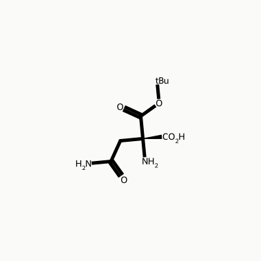 CC(C)(C)OC(=O)[C@](N)(CC(N)=O)C(=O)O